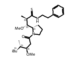 CC[C@H](C)[C@H](C)[C@@H](CC(=O)N1CCC[C@H]1[C@H](OC)[C@@H](C)C(=S)NCCc1ccccc1)OC